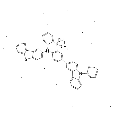 CC1(C)c2ccccc2N(c2ccc3sc4ccccc4c3c2)c2ccc(-c3ccc4c(c3)c3ccccc3n4-c3ccccc3)cc21